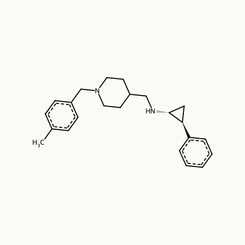 Cc1ccc(CN2CCC(CN[C@@H]3C[C@H]3c3ccccc3)CC2)cc1